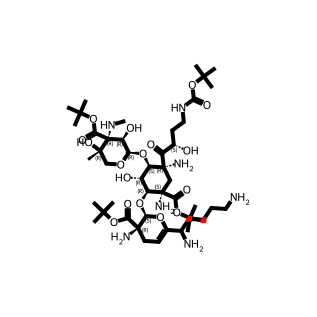 CN[C@]1(C(=O)OC(C)(C)C)[C@@H](O)[C@@H](O[C@@H]2[C@@H](O)[C@H](O[C@H]3OC(C(N)CCCCN)=CC[C@]3(N)C(=O)OC(C)(C)C)[C@](N)(C(=O)OC(C)(C)C)C[C@]2(N)C(=O)[C@@H](O)CCNC(=O)OC(C)(C)C)OC[C@]1(C)O